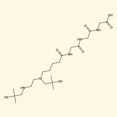 CC(C)(S)CNCCN(CCCCC(=O)NCC(=O)NCC(=O)NCC(=O)O)CC(C)(C)S